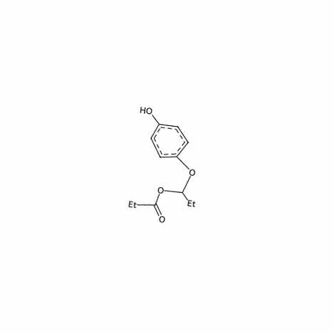 CCC(=O)OC(CC)Oc1ccc(O)cc1